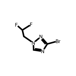 FC(F)Cn1cnc(Br)n1